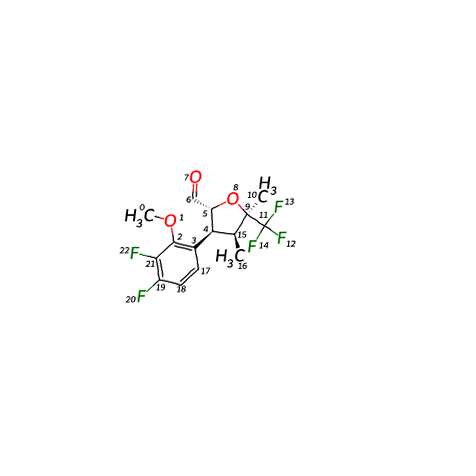 COc1c([C@H]2[C@H](C=O)O[C@@](C)(C(F)(F)F)[C@H]2C)ccc(F)c1F